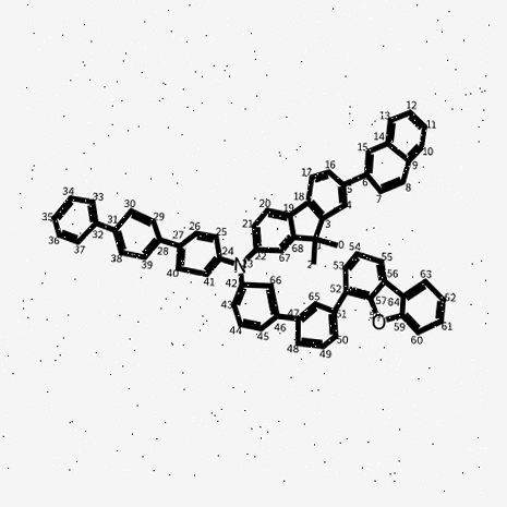 CC1(C)c2cc(-c3ccc4ccccc4c3)ccc2-c2ccc(N(c3ccc(-c4ccc(-c5ccccc5)cc4)cc3)c3cccc(-c4cccc(-c5cccc6c5oc5ccccc56)c4)c3)cc21